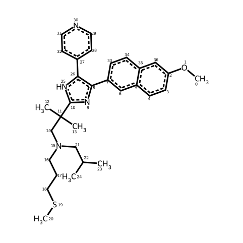 COc1ccc2cc(-c3nc(C(C)(C)CN(CCCSC)CC(C)C)[nH]c3-c3ccncc3)ccc2c1